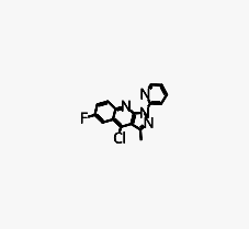 Cc1nn(-c2ccccn2)c2nc3ccc(F)cc3c(Cl)c12